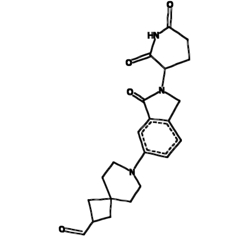 O=CC1CC2(CCN(c3ccc4c(c3)C(=O)N(C3CCC(=O)NC3=O)C4)CC2)C1